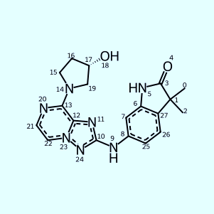 CC1(C)C(=O)Nc2cc(Nc3nc4c(N5CC[C@H](O)C5)nccn4n3)ccc21